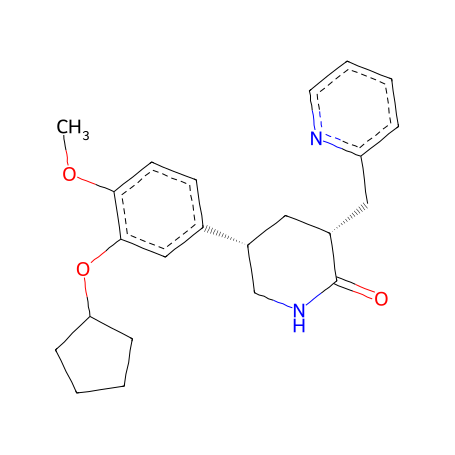 COc1ccc([C@H]2CNC(=O)[C@@H](Cc3ccccn3)C2)cc1OC1CCCC1